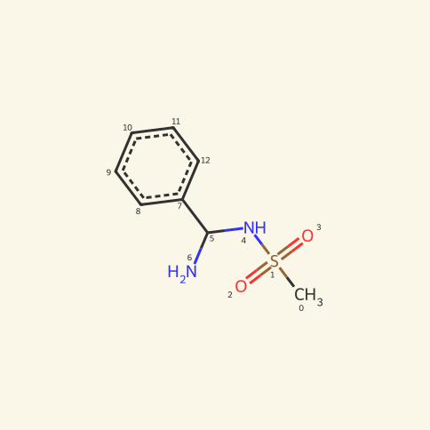 CS(=O)(=O)NC(N)c1ccccc1